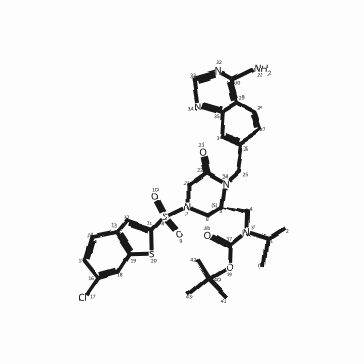 CC(C)N(C[C@H]1CN(S(=O)(=O)c2cc3ccc(Cl)cc3s2)CC(=O)N1Cc1ccc2c(N)ncnc2c1)C(=O)OC(C)(C)C